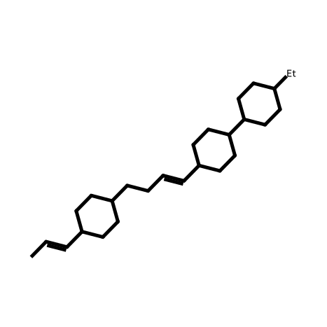 CC=CC1CCC(CCC=CC2CCC(C3CCC(CC)CC3)CC2)CC1